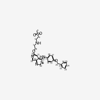 CS(=O)(=O)CCNCCOc1cc2c(Nc3ccc(OCc4ccccc4)cc3)ncnc2cn1